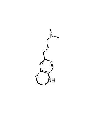 CN(C)CCCc1ccc2c(c1)CCCN2